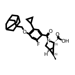 C[C@@H]1C2[C@@H](C(=O)O)N(C(=O)c3cc(C4CC4)c(OCC45CC6CC(CC(C6)C4)C5)cc3F)C[C@@H]21